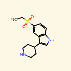 N#CCS(=O)(=O)c1ccc2[nH]cc(C3CCNCC3)c2c1